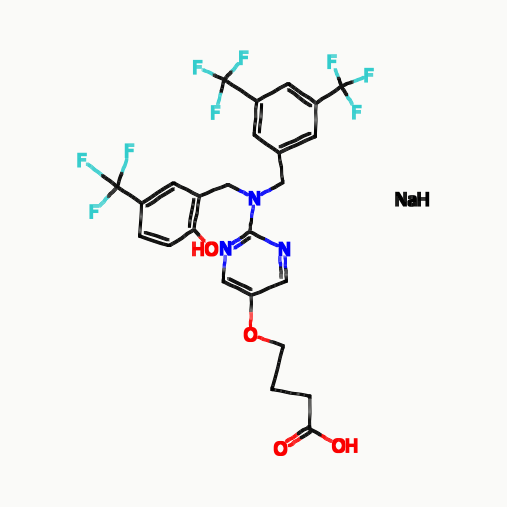 O=C(O)CCCOc1cnc(N(Cc2cc(C(F)(F)F)cc(C(F)(F)F)c2)Cc2cc(C(F)(F)F)ccc2O)nc1.[NaH]